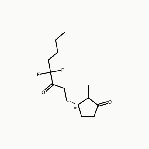 CCCCC(F)(F)C(=O)CC[C@H]1CCC(=O)C1C